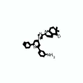 CC1(C)CCc2nc(-c3cn(-c4cc(-c5ccccc5)nc(-c5cccc(N)c5)c4)cn3)ccc2C1=O